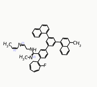 C/C=C\N=C/CN/C(=N\C)c1cc(-c2cc(C3=C4C=CC=CC4C(C)C=C3)cc(-c3cccc4ccccc34)c2)ccc1C1=C(F)C=CC=CC1